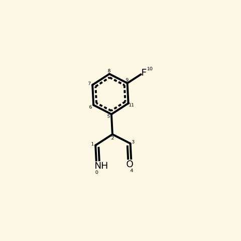 N=CC(C=O)c1cccc(F)c1